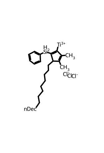 CCCCCCCCCCCCCCCCCCC1C(C)=C(C)[C]([Ti+3])=C1[SiH2]c1ccccc1.[Cl-].[Cl-].[Cl-]